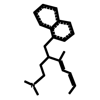 C/C=C\C=C(/C)C(CCN(C)C)Cc1cccc2ccccc12